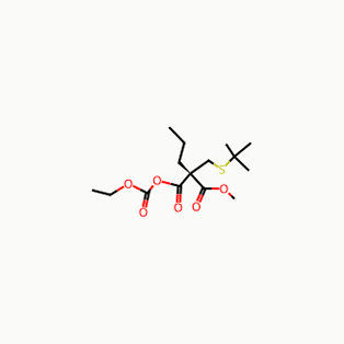 CCC[C@@](CSC(C)(C)C)(C(=O)OC)C(=O)OC(=O)OCC